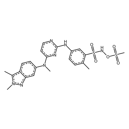 Cc1ccc(Nc2nccc(N(C)c3ccc4c(C)n(C)nc4c3)n2)cc1S(=O)(=O)NOS(C)(=O)=O